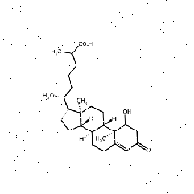 CC(CCC[C@@H](C)[C@H]1CC[C@H]2[C@@H]3CCC4=CC(=O)CC(O)[C@]4(C)[C@H]3CC[C@]12C)C(=O)O